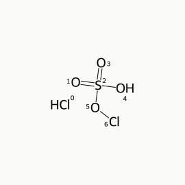 Cl.O=S(=O)(O)OCl